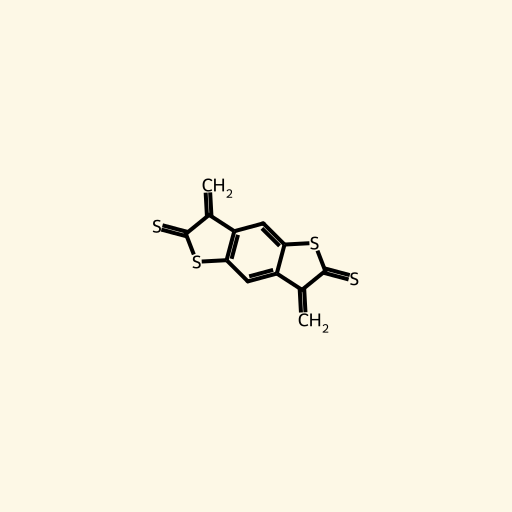 C=C1C(=S)Sc2cc3c(cc21)SC(=S)C3=C